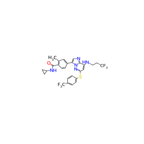 Cc1cc(-c2cnc3c(NCCC(F)(F)F)cc(Sc4ccc(C(F)(F)F)cc4)nn23)ccc1C(=O)NC1CC1